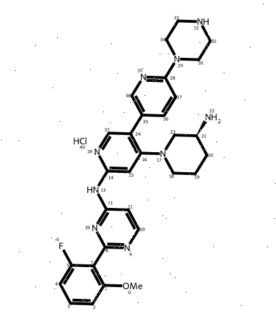 COc1cccc(F)c1-c1nccc(Nc2cc(N3CCC[C@H](N)C3)c(-c3ccc(N4CCNCC4)nc3)cn2)n1.Cl